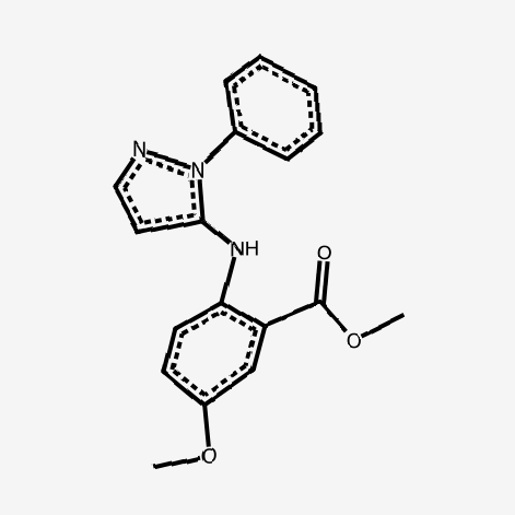 COC(=O)c1cc(OC)ccc1Nc1ccnn1-c1ccccc1